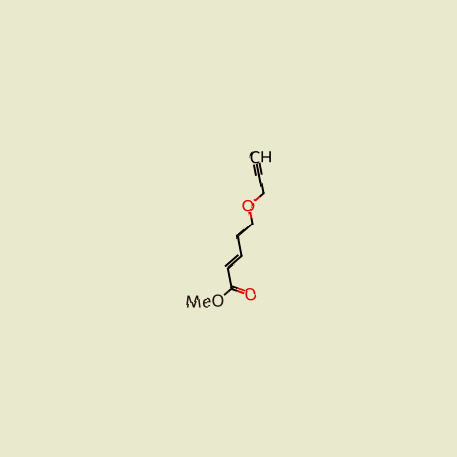 C#CCOCC/C=C/C(=O)OC